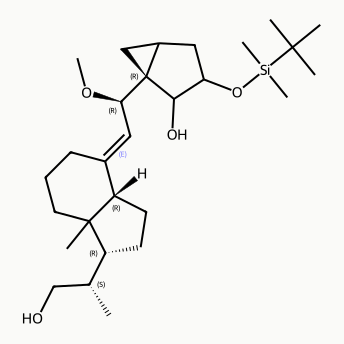 CO[C@H](/C=C1\CCCC2(C)[C@@H]([C@H](C)CO)CC[C@@H]12)[C@]12CC1CC(O[Si](C)(C)C(C)(C)C)C2O